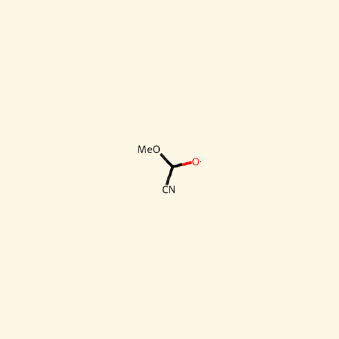 COC([O])C#N